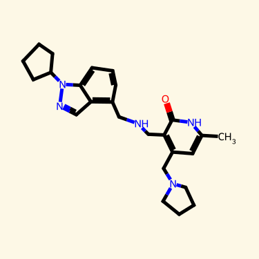 Cc1cc(CN2CCCC2)c(CNCc2cccc3c2cnn3C2CCCC2)c(=O)[nH]1